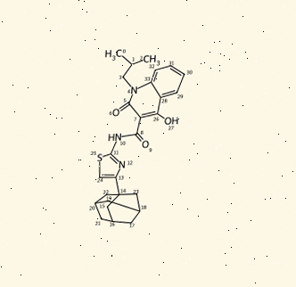 CC(C)Cn1c(=O)c(C(=O)Nc2nc(C34CC5CC(CC(C5)C3)C4)cs2)c(O)c2ccccc21